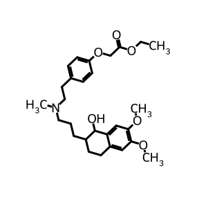 CCOC(=O)COc1ccc(CCN(C)CCCC2CCc3cc(OC)c(OC)cc3C2O)cc1